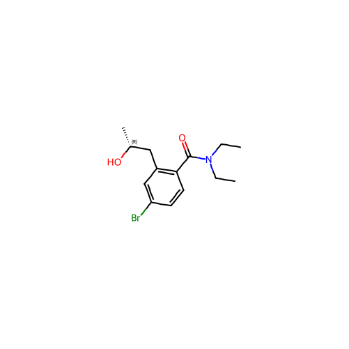 CCN(CC)C(=O)c1ccc(Br)cc1C[C@@H](C)O